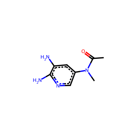 CC(=O)N(C)c1cnc(N)c(N)c1